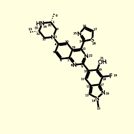 C[C@@H]1CN(c2ccc3nc(-c4cc5cn(C)nc5c(F)c4O)nc(-c4nccs4)c3c2)C[C@H](C)N1